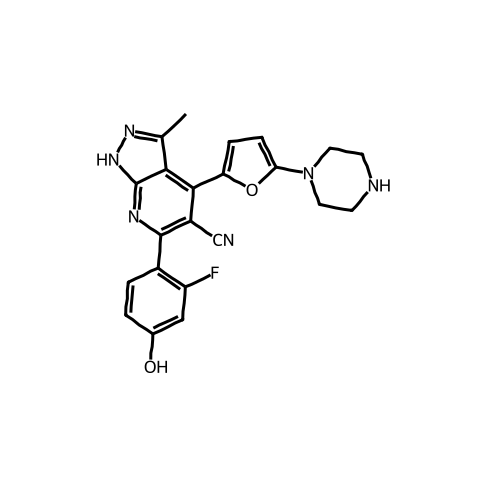 Cc1n[nH]c2nc(-c3ccc(O)cc3F)c(C#N)c(-c3ccc(N4CCNCC4)o3)c12